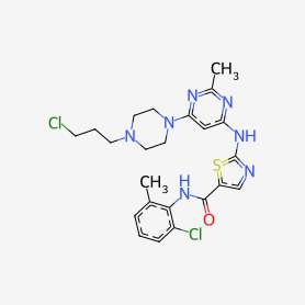 Cc1nc(Nc2ncc(C(=O)Nc3c(C)cccc3Cl)s2)cc(N2CCN(CCCCl)CC2)n1